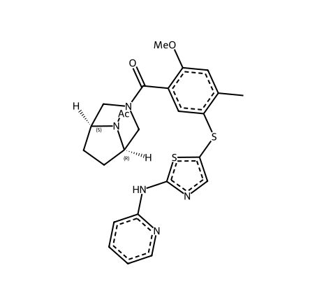 COc1cc(C)c(Sc2cnc(Nc3ccccn3)s2)cc1C(=O)N1C[C@H]2CC[C@@H](C1)N2C(C)=O